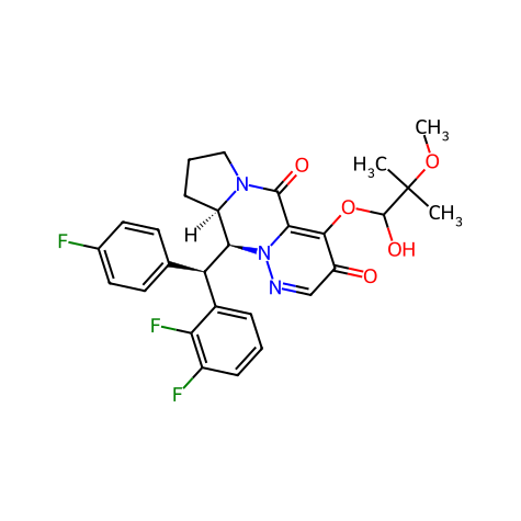 COC(C)(C)C(O)Oc1c2n(ncc1=O)[C@@H]([C@H](c1ccc(F)cc1)c1cccc(F)c1F)[C@H]1CCCN1C2=O